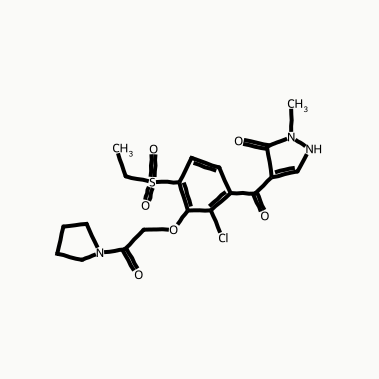 CCS(=O)(=O)c1ccc(C(=O)c2c[nH]n(C)c2=O)c(Cl)c1OCC(=O)N1CCCC1